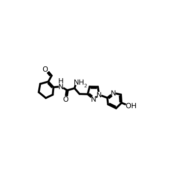 NC(Cc1ccn(-c2ccc(O)cn2)n1)C(=O)NC1=C(C=O)CCCC1